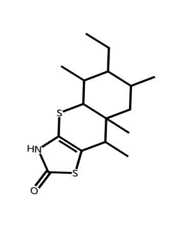 CCC1C(C)CC2(C)C(C)c3sc(=O)[nH]c3SC2C1C